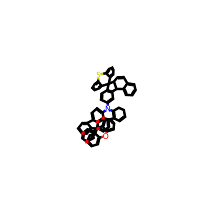 C1=CC(c2ccc(-c3ccccc3)cc2)=C(N(c2ccc3c(c2)C2c4ccccc4C=CC2C32c3ccccc3Sc3ccccc32)c2ccc3c(c2)C2(c4ccccc4Oc4ccccc42)c2ccccc2-3)CC1